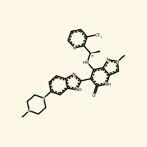 C[C@@H](Nc1c(-c2nc3ccc(N4CCN(C)CC4)cc3[nH]2)c(=O)[nH]c2cn(C)nc12)c1ncccc1C(F)(F)F